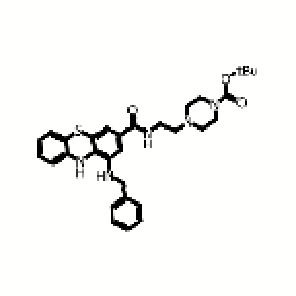 CC(C)(C)OC(=O)N1CCN(CCNC(=O)c2cc(NCc3ccccc3)c3c(c2)Sc2ccccc2N3)CC1